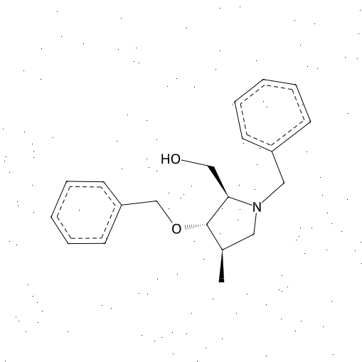 C[C@@H]1CN(Cc2ccccc2)[C@H](CO)[C@H]1OCc1ccccc1